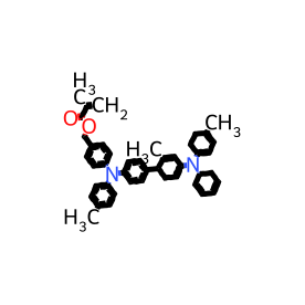 C=C(C)C(=O)OCc1ccc(N(c2ccc(C)cc2)c2ccc(C3CC=C(N(C4=CC=C(C)CC4)C4C=CC=CC4)C=C3C)cc2)cc1